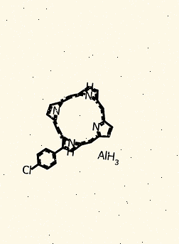 Clc1ccc(-c2cc3cc4nc(cc5ccc(cc6nc(cc2[nH]3)C=C6)[nH]5)C=C4)cc1.[AlH3]